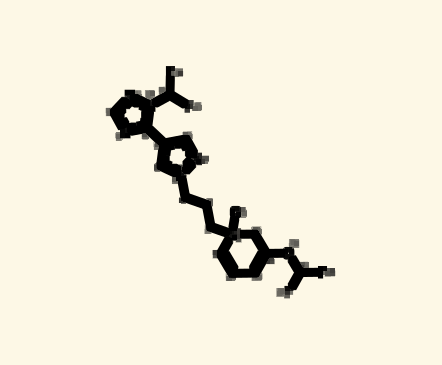 [O-][N+]1(CCCn2cc(-c3ncnn3C(F)F)cn2)C=CC=C(OC(F)F)C1